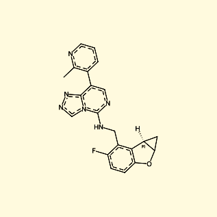 Cc1ncccc1-c1cnc(NCc2c(F)ccc3c2[C@H]2CC2O3)n2cnnc12